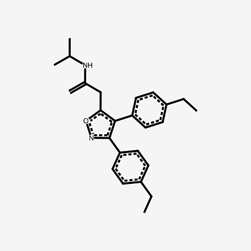 C=C(Cc1onc(-c2ccc(CC)cc2)c1-c1ccc(CC)cc1)NC(C)C